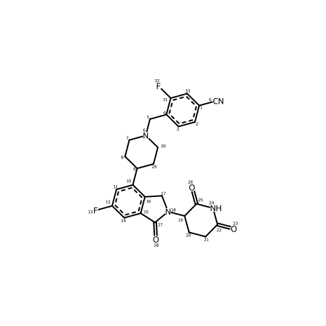 N#Cc1ccc(CN2CCC(c3cc(F)cc4c3CN(C3CCC(=O)NC3=O)C4=O)CC2)c(F)c1